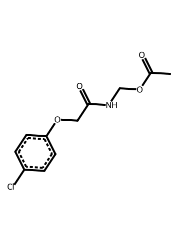 CC(=O)OCNC(=O)COc1ccc(Cl)cc1